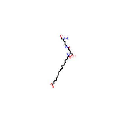 NC(C=O)CCCCNC(=O)CCC(CO)NC(=O)CCCCCCCCCCCCCCCCCCC(=O)O